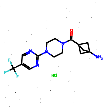 Cl.NC12CC(C(=O)N3CCN(c4ncc(C(F)(F)F)cn4)CC3)(C1)C2